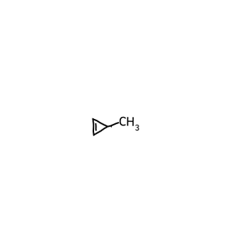 C[C]1C=C1